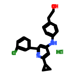 Cl.OCCc1ccc(Nc2cc(-c3cccc(Cl)c3)nc(C3CC3)c2)cc1